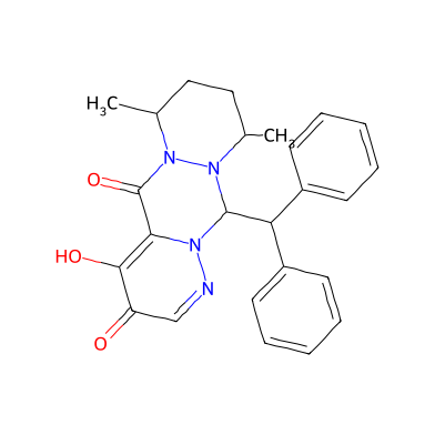 CC1CCC(C)N2C(C(c3ccccc3)c3ccccc3)n3ncc(=O)c(O)c3C(=O)N12